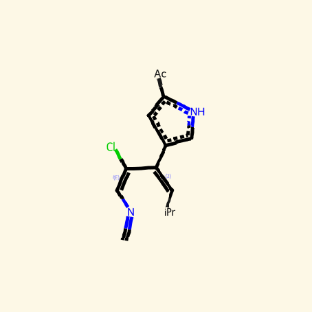 C=N/C=C(Cl)\C(=C/C(C)C)c1c[nH]c(C(C)=O)c1